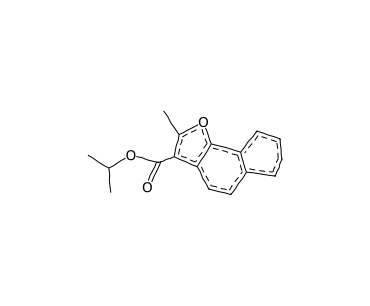 Cc1oc2c(ccc3ccccc32)c1C(=O)OC(C)C